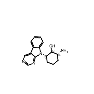 N[C@@H]1CCC[C@H](n2c3ccccc3c3cncnc32)[C@H]1O